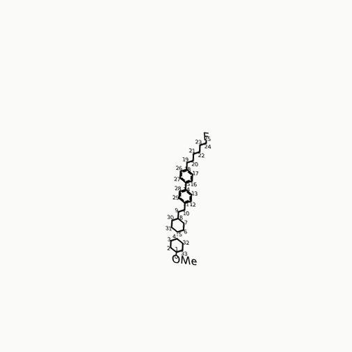 CO[C@H]1CC[C@H](C2CCC(CCc3ccc(-c4ccc(CCCCCCF)cc4)cc3)CC2)CC1